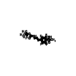 CC(C)(C)OC(=O)NCCCc1c(F)c(F)c(S(C)(=N)=O)c(F)c1F